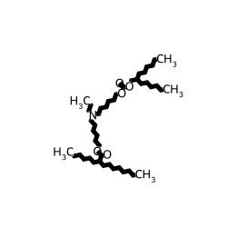 CCCCCCCCC(CCCCCC)C(=O)OCCCCCCN(CCC)CCCCCCOC(=O)OCC(CCCCCC)CCCCCC